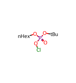 CCCCCCOP(=O)(OCl)OC(C)(C)C